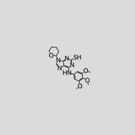 COc1cc(Nc2nc(S)nc3c2ncn3C2CCCCO2)cc(OC)c1OC